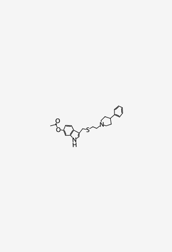 CC(=O)Oc1ccc2c(CSCCN3CCC(c4ccccc4)CC3)c[nH]c2c1